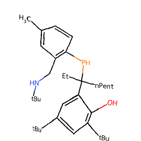 CCCCCC(CC)(Pc1ccc(C)cc1CNC(C)(C)C)c1cc(C(C)(C)C)cc(C(C)(C)C)c1O